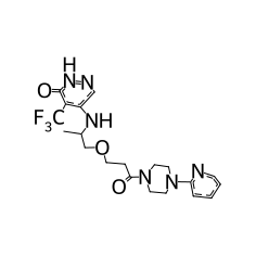 CC(COCCC(=O)N1CCN(c2ccccn2)CC1)Nc1cn[nH]c(=O)c1C(F)(F)F